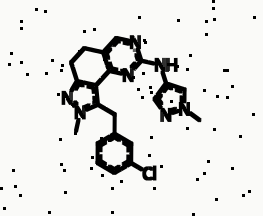 Cn1cc(Nc2ncc3c(n2)-c2c(nn(C)c2Cc2cccc(Cl)c2)CC3)cn1